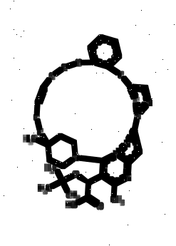 Cc1nc2cc3nn2c(c1[C@H](OC(C)(C)C)C(=O)O)N1CCC(C)(CC/C=C\CCOc2ccccc2Cc2cnn-3c2)CC1